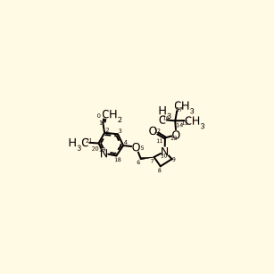 C=Cc1cc(OC[C@@H]2CCN2C(=O)OC(C)(C)C)cnc1C